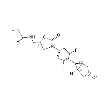 CCC(=O)NC[C@H]1CN(c2cc(F)c(C3[C@H]4C[S+]([O-])C[C@@H]34)c(F)c2)C(=O)O1